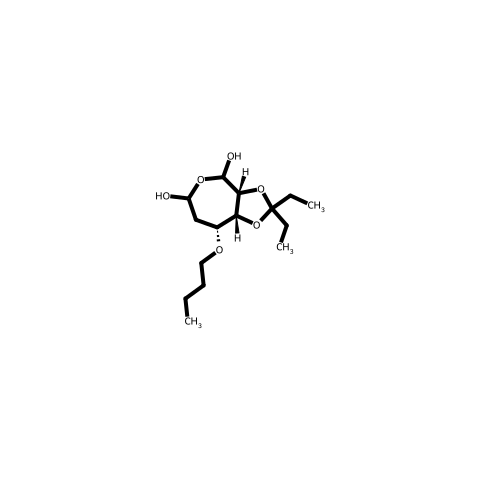 CCCCO[C@@H]1CC(O)OC(O)[C@@H]2OC(CC)(CC)O[C@H]12